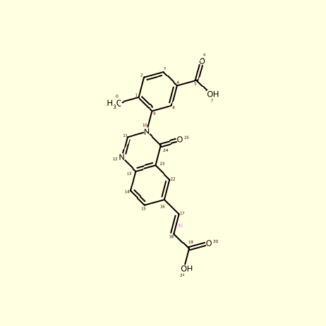 Cc1ccc(C(=O)O)cc1-n1cnc2ccc(/C=C/C(=O)O)cc2c1=O